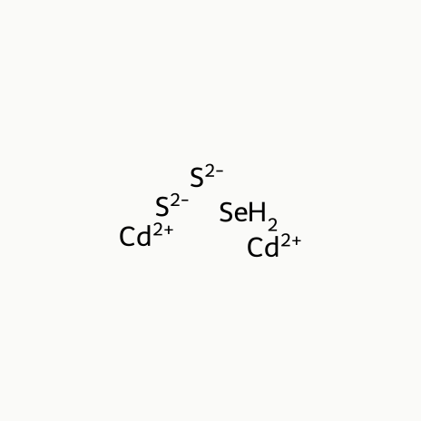 [Cd+2].[Cd+2].[S-2].[S-2].[SeH2]